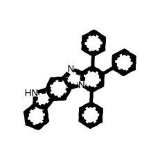 c1ccc(-c2cc(-c3ccccc3)n3c(nc4cc5[nH]c6ccccc6c5cc43)c2-c2ccccc2)cc1